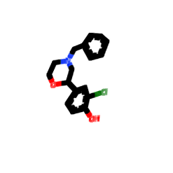 Oc1ccc(C2CN(Cc3ccccc3)CCO2)cc1Cl